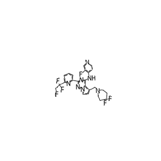 FCC(F)(F)c1cccc(-c2nc(Nc3ccncc3F)c3c(CN4CCC(F)(F)CC4)ccn3n2)n1